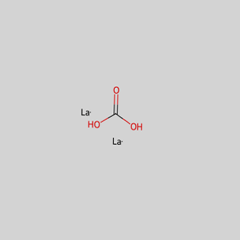 O=C(O)O.[La].[La]